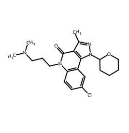 Cc1nn(C2CCCCO2)c2c1c(=O)n(CCCN(C)C)c1ccc(Cl)cc21